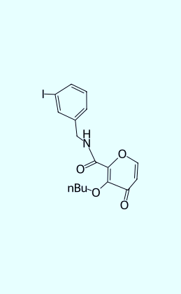 CCCCOc1c(C(=O)NCc2cccc(I)c2)occc1=O